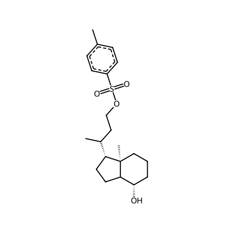 Cc1ccc(S(=O)(=O)OCCC(C)[C@H]2CCC3[C@@H](O)CCC[C@@]32C)cc1